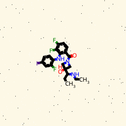 CCNC(CC)C1(O)CN(C(=O)c2ccc(F)c(F)c2Nc2ccc(I)cc2F)C1